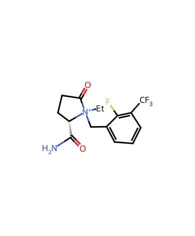 CC[N+]1(Cc2cccc(C(F)(F)F)c2F)C(=O)CC[C@H]1C(N)=O